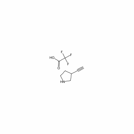 C#CC1CCNC1.O=C(O)C(F)(F)F